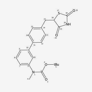 CN(C(=O)OC(C)(C)C)c1cccc(-c2ccc(CC3SC(=O)NC3=O)cc2)c1